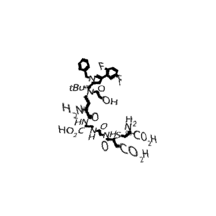 CC(C)(C)[C@H](c1cc(-c2cc(F)ccc2F)cn1Cc1ccccc1)N(CC[C@H](N)C(=O)NC(CNC(=O)CNC(=O)C(CC(=O)O)SC[C@H](N)C(=O)O)C(=O)O)C(=O)CO